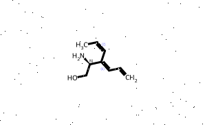 C=C/C=C(\C=C/C)[C@H](N)CO